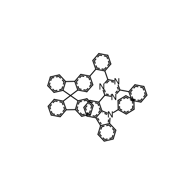 c1ccc(-c2nc(-c3ccccc3-c3ccc4c(c3)-c3ccccc3C43c4ccccc4-c4ccccc43)nc(-c3cccc4c5ccccc5n(-c5ccccc5)c34)n2)cc1